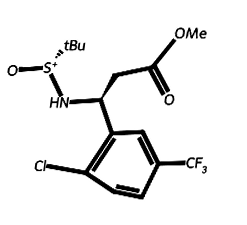 COC(=O)C[C@H](N[S@+]([O-])C(C)(C)C)c1cc(C(F)(F)F)ccc1Cl